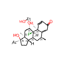 CC(=O)[C@@]1(O)CC[C@H]2[C@@H]3C[C@H](C)C4=CC(=O)C=C[C@]4(C)[C@@]3(F)[C@@H](O)C[C@@]21C.CCO